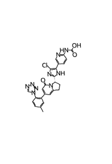 Cc1ccc(-n2cnnn2)c(-c2cc3n(c(=O)c2)[C@H](c2nc(Cl)c(-c4ccc(NC(=O)O)nc4)[nH]2)CC3)c1